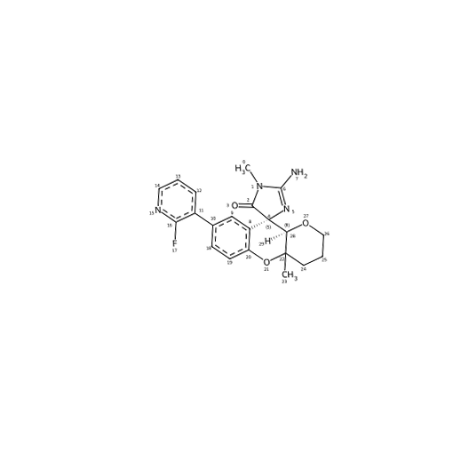 CN1C(=O)[C@]2(N=C1N)c1cc(-c3cccnc3F)ccc1OC1(C)CCCO[C@@H]12